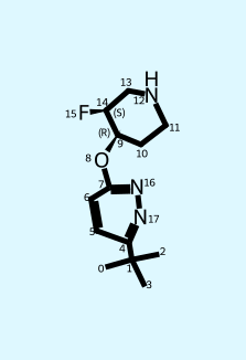 CC(C)(C)c1ccc(O[C@@H]2CCNC[C@@H]2F)nn1